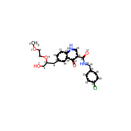 COCCOC(CO)Cc1ccc2[nH]cc(C(=O)NCc3ccc(Cl)cc3)c(=O)c2c1